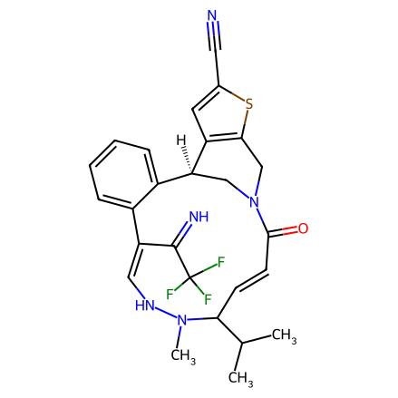 CC(C)C1/C=C/C(=O)N2Cc3sc(C#N)cc3[C@@H](C2)c2ccccc2/C(C(=N)C(F)(F)F)=C/NN1C